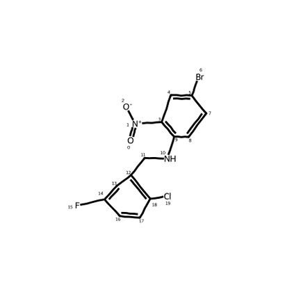 O=[N+]([O-])c1cc(Br)ccc1NCc1cc(F)ccc1Cl